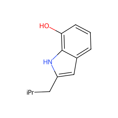 CC(C)Cc1cc2cccc(O)c2[nH]1